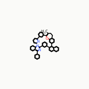 CC1=C(c2cccc(-c3ccccn3)c2)Oc2cc(-c3c(-c4cccc(-c5nc(-c6ccccc6)c6ccccc6n5)c4)ccc4ccccc34)ccc2CC1